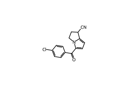 N#CC1CCn2c(C(=O)c3ccc(Cl)cc3)ccc21